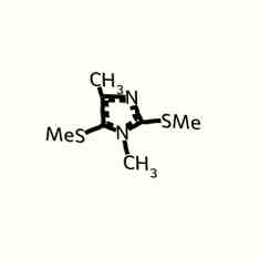 CSc1nc(C)c(SC)n1C